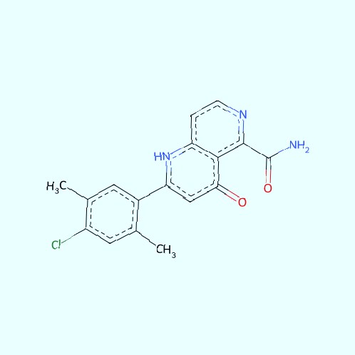 Cc1cc(-c2cc(=O)c3c(C(N)=O)nccc3[nH]2)c(C)cc1Cl